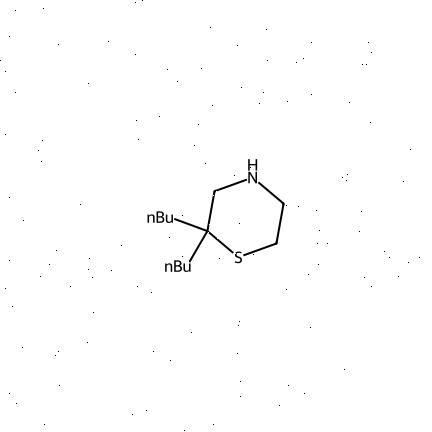 CCCCC1(CCCC)CNCCS1